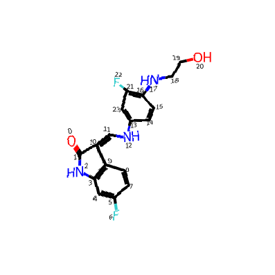 O=C1Nc2cc(F)ccc2/C1=C\Nc1ccc(NCCO)c(F)c1